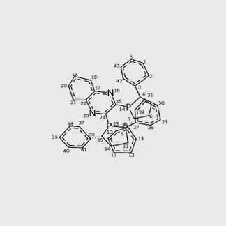 c1ccc(C2CC[C@H](c3ccccc3)P2c2nc3ccccc3nc2P2C(c3ccccc3)CC[C@@H]2c2ccccc2)cc1